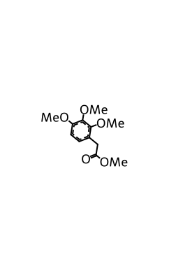 COC(=O)Cc1ccc(OC)c(OC)c1OC